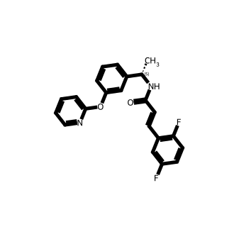 C[C@H](NC(=O)C=Cc1cc(F)ccc1F)c1cccc(Oc2ccccn2)c1